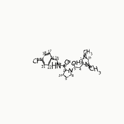 CN1C=C(CC(O)N2CCC[C@H]2C(=O)NCc2ccc(Cl)cc2)N(C)C1